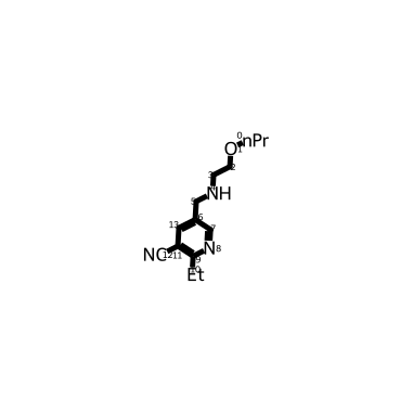 CCCOCCNCc1cnc(CC)c(C#N)c1